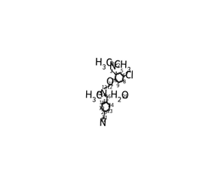 CN(C)Cc1cc(Cl)ccc1OCCN(C)Cc1ccc(C#N)cc1.O